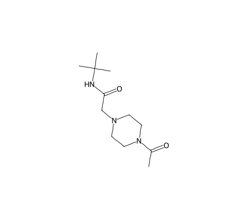 CC(=O)N1CCN(CC(=O)NC(C)(C)C)CC1